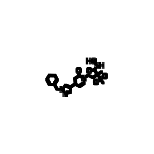 CC(CCn1ccc(-c2cnn(Cc3ccccc3)c2)cc1=O)(C(=O)NO)S(C)(=O)=O